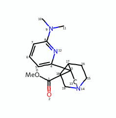 COC(=O)C1(c2cccc(N(C)C)n2)CN2CCC1CC2